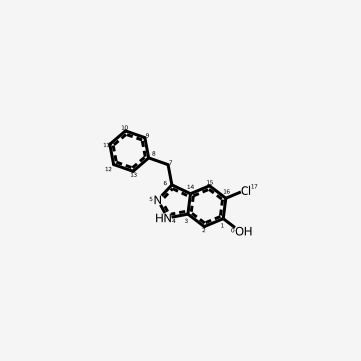 Oc1cc2[nH]nc(Cc3ccccc3)c2cc1Cl